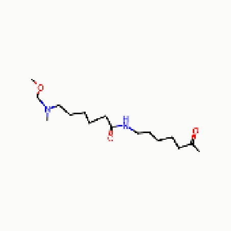 COCN(C)CCCCCC(=O)NCCCCCC(C)=O